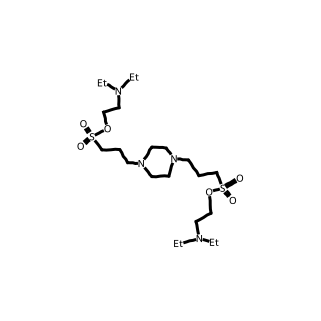 CCN(CC)CCOS(=O)(=O)CCCN1CCN(CCCS(=O)(=O)OCCN(CC)CC)CC1